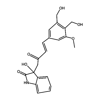 COc1cc(/C=C/C(=O)CC2(O)C(=O)Nc3ccccc32)cc(CO)c1CO